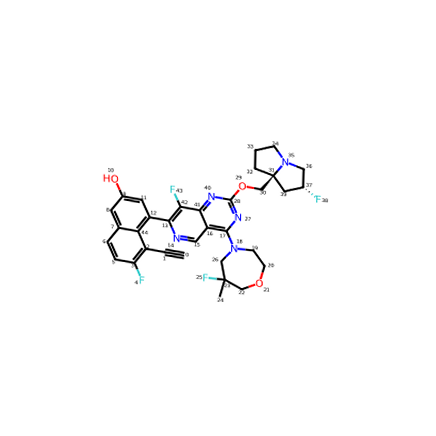 C#Cc1c(F)ccc2cc(O)cc(-c3ncc4c(N5CCOCC(C)(F)C5)nc(OC[C@@]56CCCN5C[C@H](F)C6)nc4c3F)c12